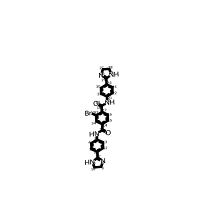 O=C(Nc1ccc(C2=NCCN2)cc1)c1ccc(C(=O)Nc2ccc(C3=NCCN3)cc2)c(Br)c1